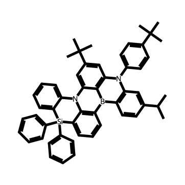 CC(C)c1ccc2c(c1)N(c1ccc(C(C)(C)C)cc1)c1cc(C(C)(C)C)cc3c1B2c1cccc2c1N3c1ccccc1[Si]2(c1ccccc1)c1ccccc1